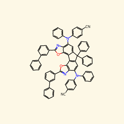 N#Cc1ccc(N(c2ccccc2)c2cc3c(c4oc(-c5cccc(-c6ccccc6)c5)nc24)-c2c(cc(N(c4ccccc4)c4ccc(C#N)cc4)c4nc(-c5cccc(-c6ccccc6)c5)oc24)C3(c2ccccc2)c2ccccc2)cc1